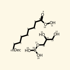 CCCCCCCCCCCCCCCCCC(=O)OO.OCC(O)COB(O)O